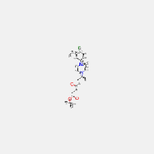 C=C(CCC(=O)CCC(=O)OC(C)(C)C)N1CCN(c2ccc(Cl)c(CC)c2)[C@@H](C)C1